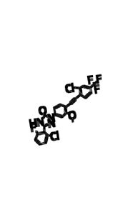 COc1cc(-n2nc(-c3c(F)cccc3Cl)[nH]c2=O)ccc1C#Cc1ccc(C(F)(F)F)cc1Cl